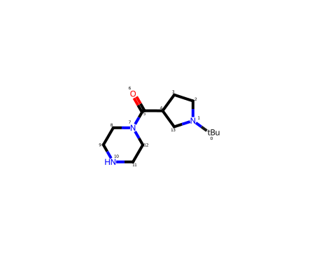 CC(C)(C)N1CCC(C(=O)N2CCNCC2)C1